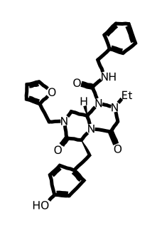 CCN1CC(=O)N2[C@@H](Cc3ccc(O)cc3)C(=O)N(Cc3ccco3)C[C@@H]2N1C(=O)NCc1ccccc1